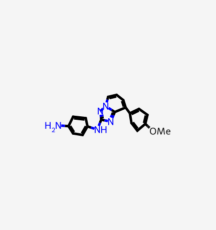 COc1ccc(-c2cccn3nc(Nc4ccc(N)cc4)nc23)cc1